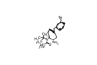 CC(C)(C)N(C(=O)O)[C@H]1CC=C(c2cccc(Br)c2)C[C@@H]1N